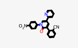 N#Cc1ccccc1-c1cc(-c2ccccn2)cn(-c2ccc([N+](=O)[O-])cc2)c1=O